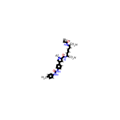 CC(=O)N1CC(c2ccc(NC(=O)Nc3ccc(C)cc3)cc2)CC1C(=O)NC(C/C=C/CC(NC(=O)CC(C)(C)C)C(=O)O)C(=O)O